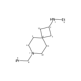 CCNC1CC2(CCN(CC(C)C)CC2)C1